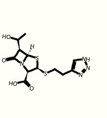 CC(O)[C@@H]1C(=O)N2[C@@H]1S[C@@H](SCCc1c[nH]nn1)[C@H]2C(=O)O